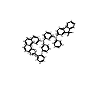 CC1(C)c2ccccc2-c2ccc(N(c3ccccc3)c3cccc(N(c4ccccc4)c4ccc5ccc6ccc7nc(-c8ccccc8)oc7c6c5c4)c3)cc21